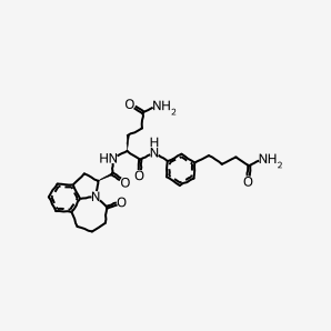 NC(=O)CCCc1cccc(NC(=O)[C@H](CCC(N)=O)NC(=O)[C@@H]2Cc3cccc4c3N2C(=O)CCC4)c1